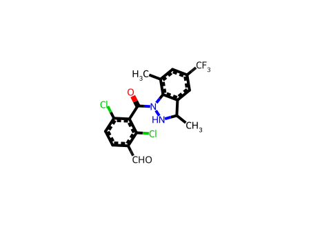 Cc1cc(C(F)(F)F)cc2c1N(C(=O)c1c(Cl)ccc(C=O)c1Cl)NC2C